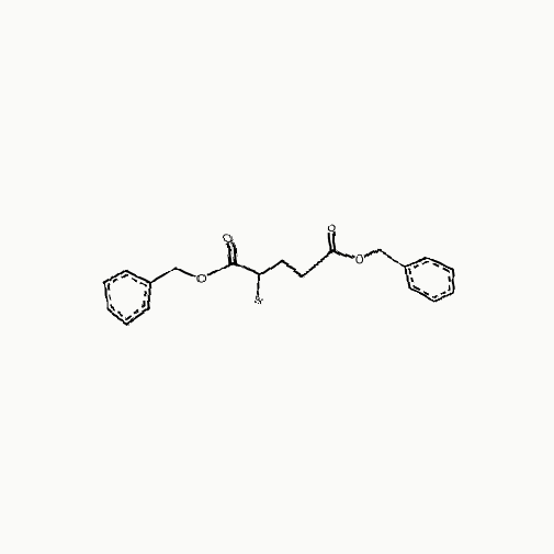 O=C(CCC(Br)C(=O)OCc1ccccc1)OCc1ccccc1